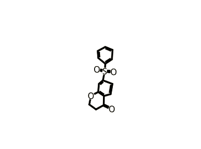 O=C1CCOc2cc(S(=O)(=O)c3ccccc3)ccc21